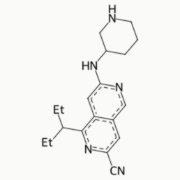 CCC(CC)c1nc(C#N)cc2cnc(NC3CCCNC3)cc12